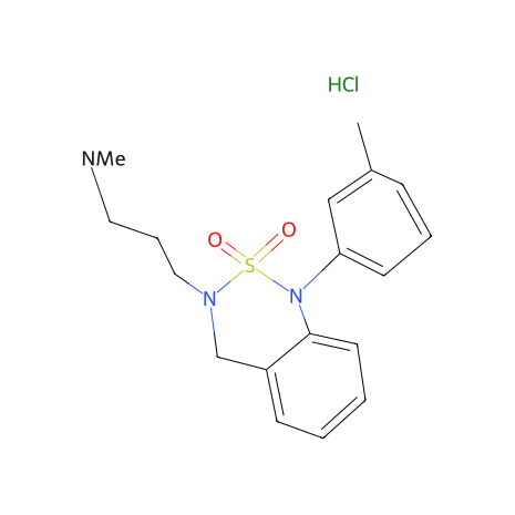 CNCCCN1Cc2ccccc2N(c2cccc(C)c2)S1(=O)=O.Cl